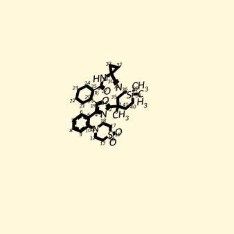 CC1(c2nc(-c3ccccc3N3CCS(=O)(=O)CC3)c([C@@H]3CCCC[C@H]3C(=O)NC3(C#N)CC3)o2)CC[Si](C)(C)CC1